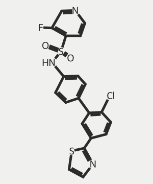 O=S(=O)(Nc1ccc(-c2cc(-c3nccs3)ccc2Cl)cc1)c1ccncc1F